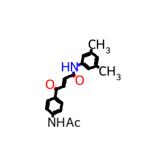 CC(=O)Nc1ccc(C(=O)C=CC(=O)Nc2cc(C)cc(C)c2)cc1